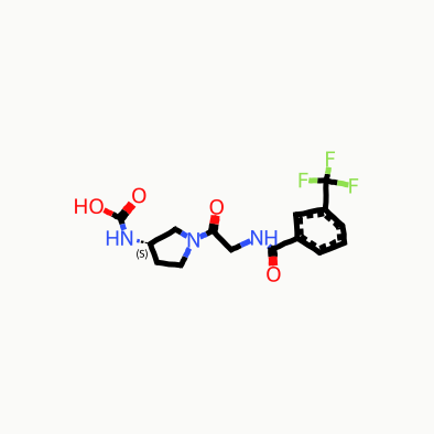 O=C(O)N[C@H]1CCN(C(=O)CNC(=O)c2cccc(C(F)(F)F)c2)C1